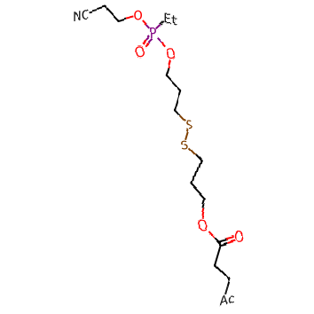 CCP(=O)(OCCC#N)OCCCSSCCCOC(=O)CCC(C)=O